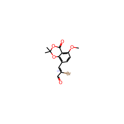 COc1ccc(/C=C(\Br)C=O)c2c1C(=O)OC(C)(C)O2